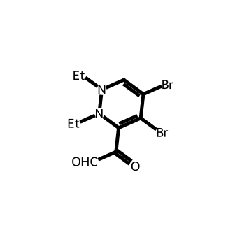 CCN1C=C(Br)C(Br)=C(C(=O)C=O)N1CC